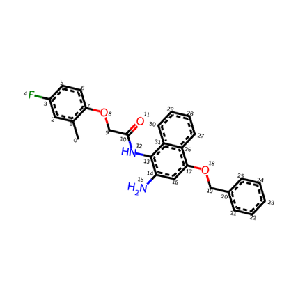 Cc1cc(F)ccc1OCC(=O)Nc1c(N)cc(OCc2ccccc2)c2ccccc12